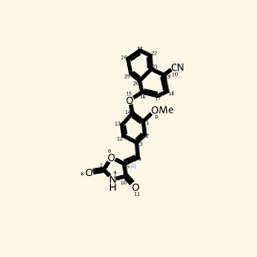 COc1cc(/C=C2\OC(=O)NC2=O)ccc1Oc1ccc(C#N)c2ccccc12